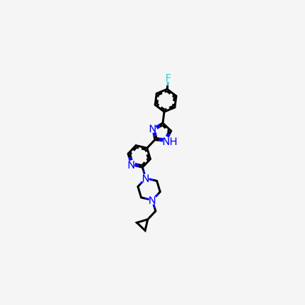 Fc1ccc(-c2c[nH]c(-c3ccnc(N4CCN(CC5CC5)CC4)c3)n2)cc1